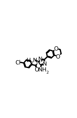 NC1=NC(c2ccc3c(c2)OCCO3)=N[N+]1(N)C(=O)c1ccc(Cl)cc1